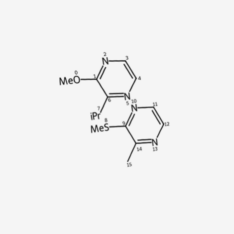 COc1nccnc1C(C)C.CSc1nccnc1C